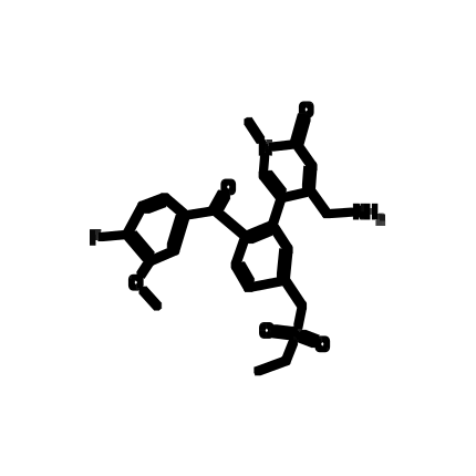 CCS(=O)(=O)Cc1ccc(C(=O)c2ccc(F)c(OC)c2)c(-c2cn(C)c(=O)cc2CN)c1